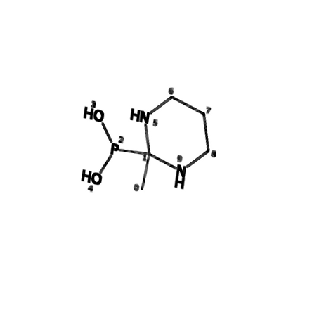 CC1(P(O)O)NCCCN1